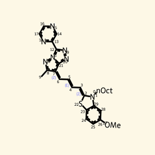 CCCCCCCCN1/C(=C/C=C/C=c2/c(C)nn3c(-c4cnccn4)nnc23)Sc2ccc(OC)cc21